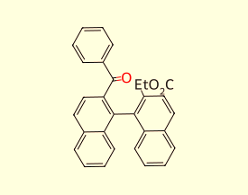 CCOC(=O)c1ccc2ccccc2c1-c1c(C(=O)c2ccccc2)ccc2ccccc12